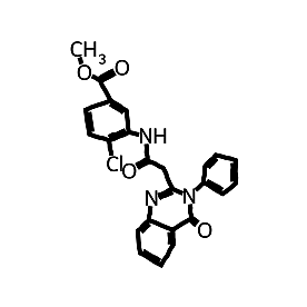 COC(=O)c1ccc(Cl)c(NC(=O)Cc2nc3ccccc3c(=O)n2-c2ccccc2)c1